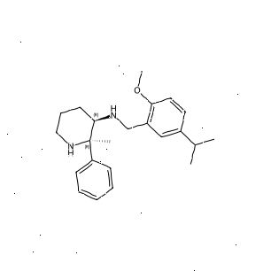 COc1ccc(C(C)C)cc1CN[C@@H]1CCCN[C@]1(C)c1ccccc1